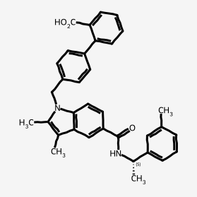 Cc1cccc([C@H](C)NC(=O)c2ccc3c(c2)c(C)c(C)n3Cc2ccc(-c3ccccc3C(=O)O)cc2)c1